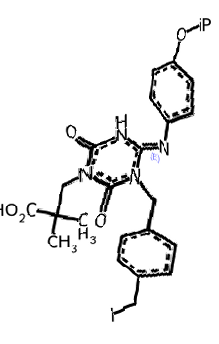 CC(C)Oc1ccc(/N=c2\[nH]c(=O)n(CC(C)(C)C(=O)O)c(=O)n2Cc2ccc(CI)cc2)cc1